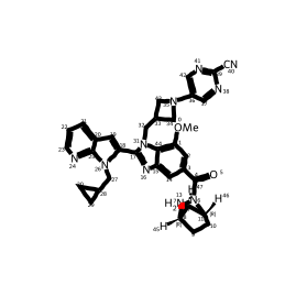 COc1cc(C(=O)N2C[C@H]3CC[C@@H]2[C@@H]3N)cc2nc(-c3cc4cccnc4n3CC3CC3)n(CC3CN(c4cnc(C#N)nc4)C3)c12